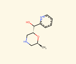 C[C@H]1CNC[C@H](C(O)c2ccccn2)O1